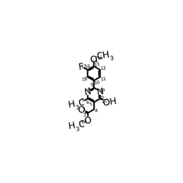 COC(=O)Cc1c(C)nc(-c2ccc(OC)c(F)c2)nc1O